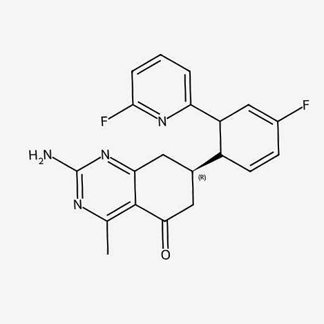 Cc1nc(N)nc2c1C(=O)C[C@H](C1C=CC(F)=CC1c1cccc(F)n1)C2